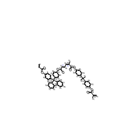 C=CC(=O)Oc1ccc(C2(c3ccc(OC(=O)/C=C/C=C(/C)C(=O)Oc4ccc(C(C)(C)c5ccc(OC(=O)C(=C)C)cc5)cc4)cc3)c3ccccc3-c3ccccc32)cc1